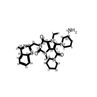 CCn1c(N2CCC[C@@H](N)C2)c(C(=O)N2CCCCC2)c2c1c(=O)n(Cc1nc(C)c3ccccc3n1)c(=O)n2C